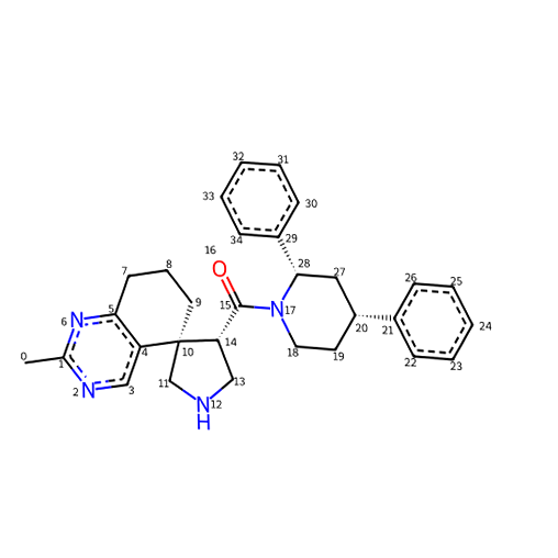 Cc1ncc2c(n1)CCC[C@]21CNC[C@H]1C(=O)N1CC[C@@H](c2ccccc2)C[C@H]1c1ccccc1